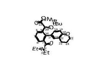 CCN(CC)C(=O)c1cccc(C(OC(C)(C)C)C(=O)OC)c1-c1ccc2c(c1)CCCO2